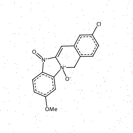 COc1ccc2c(c1)[N+]1([O-])Cc3ccc(Cl)cc3C=C1[N+]2=O